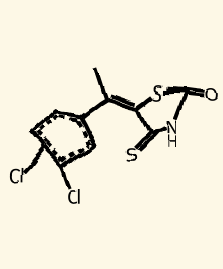 C/C(=C1\SC(=O)NC1=S)c1ccc(Cl)c(Cl)c1